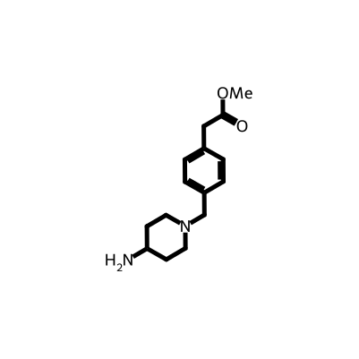 COC(=O)Cc1ccc(CN2CCC(N)CC2)cc1